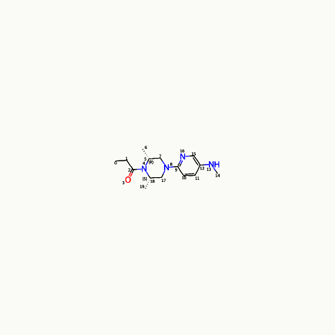 CCC(=O)N1[C@H](C)CN(c2ccc(NC)cn2)C[C@@H]1C